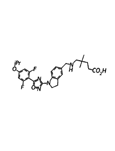 CC(C)Oc1cc(F)c(-c2nc(N3CCc4cc(CNCC(C)(C)CCC(=O)O)ccc43)no2)c(F)c1